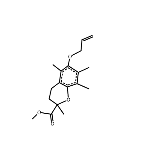 C=CCOc1c(C)c(C)c2c(c1C)CCC(C)(C(=O)OC)O2